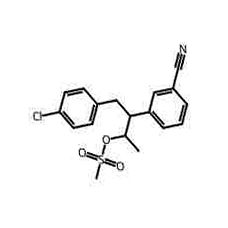 CC(OS(C)(=O)=O)C(Cc1ccc(Cl)cc1)c1cccc(C#N)c1